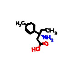 CC[C@@](N)(CC(=O)O)c1ccc(C)cc1